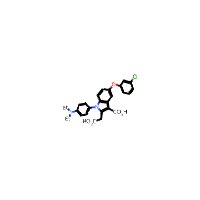 CCN(CC)c1ccc(-n2c(CC(=O)O)c(C(=O)O)c3cc(Oc4cccc(Cl)c4)ccc32)cc1